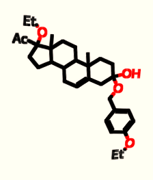 CCOc1ccc(COC2(O)CCC3(C)C(=CCC4C3CCC3(C)C4CCC3(OCC)C(C)=O)C2)cc1